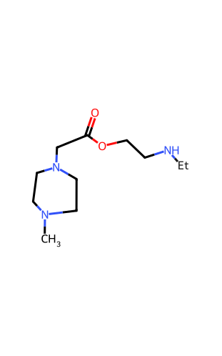 CCNCCOC(=O)CN1CCN(C)CC1